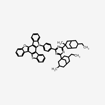 CCC1CC2CC(C1)CC(C)(c1nc(-c3ccc(-n4c5ccccc5c5c6oc7ccccc7c6c6sc7ccccc7c6c54)cc3)nc(C34CC(C)CC(CC(CC)C3)C4)n1)C2